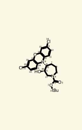 CC(C)(C)OC(=O)N1CCC[C@@H](N2c3ccc(Cl)cc3Oc3cc(Cl)ccc32)[C@H](O)C1